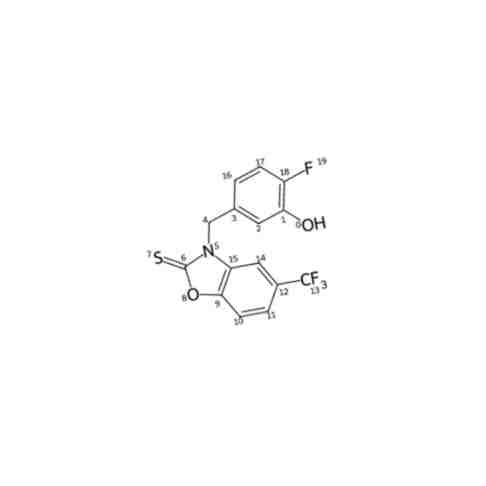 Oc1cc(Cn2c(=S)oc3ccc(C(F)(F)F)cc32)ccc1F